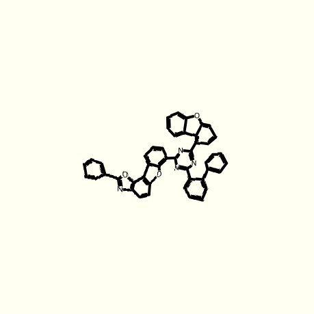 c1ccc(-c2nc3ccc4oc5c(-c6nc(-c7ccccc7-c7ccccc7)nc(-c7cccc8oc9ccccc9c78)n6)cccc5c4c3o2)cc1